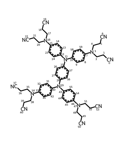 N#CCCN(CCC#N)c1ccc(N(c2ccc(N(CCC#N)CCC#N)cc2)c2ccc(N(c3ccc(N(CCC#N)CCC#N)cc3)c3ccc(N(CCC#N)CCC#N)cc3)cc2)cc1